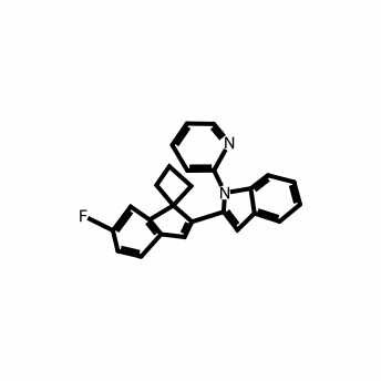 Fc1ccc2c(c1)C1(CCC1)C(c1cc3ccccc3n1-c1ccccn1)=C2